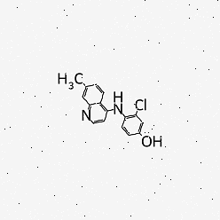 Cc1ccc2c(Nc3ccc(O)cc3Cl)ccnc2c1